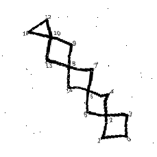 C1CC2(C1)CC1(C2)CC2(CC3(CC3)C2)C1